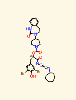 O=C(N=C=C=NC1CCCCCC1)[C@@H](Cc1cc(Br)c(O)c(Br)c1)OC(=O)N1CCC(N2CCc3ccccc3NC2=O)CC1